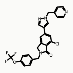 O=C1c2c(Cl)cc(-c3cnn(Cc4ccncc4)c3)cc2CN1Cc1ccc(OC(F)(F)F)cc1